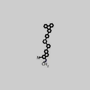 C=C/C=C\c1cc(C#N)cc2c1ccc1cc(-c3cccc(C4=CC(c5ccc(-c6ccc7c8ccccc8c8ccccc8c7c6)cc5)CC=C4)c3)ccc12